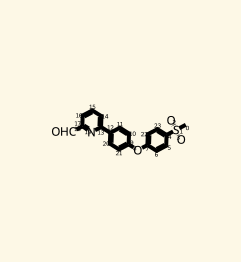 CS(=O)(=O)c1ccc(Oc2ccc(-c3cccc(C=O)n3)cc2)cc1